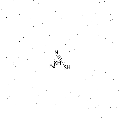 N#CS.[Fe].[KH]